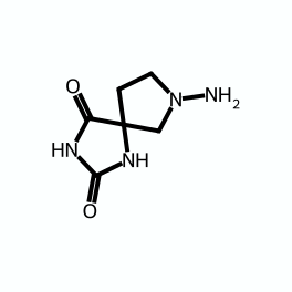 NN1CCC2(C1)NC(=O)NC2=O